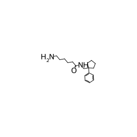 NCCCCCC(=O)NCC1(c2ccccc2)CCCC1